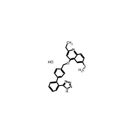 CCc1cc(OCc2ccc(-c3ccccc3-c3nnn[nH]3)cc2)c2cc(SC)ccc2n1.Cl